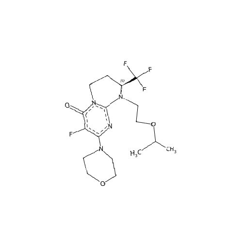 CC(C)OCCN1c2nc(N3CCOCC3)c(F)c(=O)n2CC[C@H]1C(F)(F)F